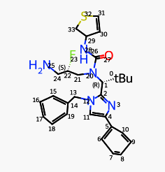 CC(C)(C)[C@H](c1nc(-c2ccccc2)cn1Cc1ccccc1)N(C[C@@H](F)CN)C(=O)NC1C=CSC1